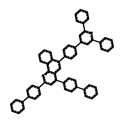 c1ccc(-c2ccc(-c3cc(-c4ccc(-c5ccccc5)cc4)c4cc(-c5ccc(-c6cc(-c7ccccc7)nc(-c7ccccc7)c6)cc5)c5ccccc5c4n3)cc2)cc1